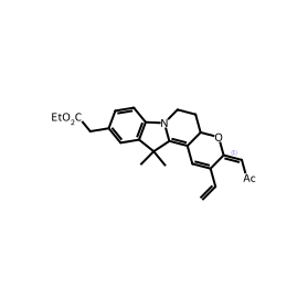 C=CC1=CC2=C3N(CCC2O/C1=C/C(C)=O)c1ccc(CC(=O)OCC)cc1C3(C)C